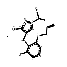 C=CCOc1cccc(F)c1Cc1cn(C(F)F)nc1CC